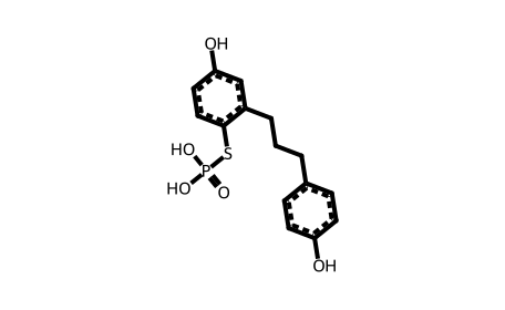 O=P(O)(O)Sc1ccc(O)cc1CCCc1ccc(O)cc1